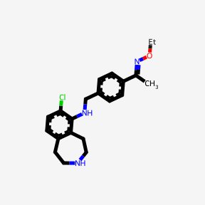 CCON=C(C)c1ccc(CNc2c(Cl)ccc3c2CCNCC3)cc1